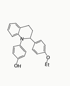 CCOc1ccc(C2CCc3ccccc3N2c2ccc(O)cc2)cc1